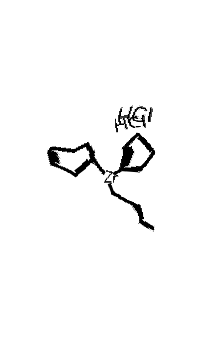 CC=C[CH2][Zr]([C]1=CC=CC1)[C]1=CC=CC1.Cl.Cl